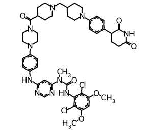 COc1cc(OC)c(Cl)c(NC(=O)N(C)c2cc(Nc3ccc(N4CCN(C(=O)C5CCN(CC6CCN(c7ccc(C8CCC(=O)NC8=O)cc7)CC6)CC5)CC4)cc3)ncn2)c1Cl